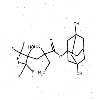 CCC(C)(CC(O)(C(F)(F)F)C(F)(F)F)C(=O)OC12CC3CC(O)(CC(O)(C3)C1)C2